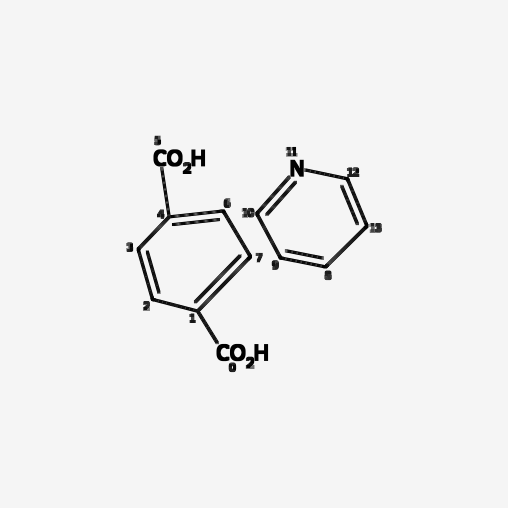 O=C(O)c1ccc(C(=O)O)cc1.c1ccncc1